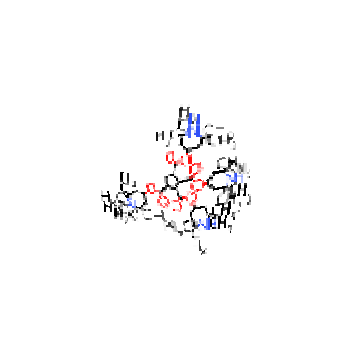 CN1C(C)(C)CC(OC(=O)C2CC(C(=O)OC3CC(C)(C)NC(C)(C)C3)C(C(=O)OC3CC(C)(C)NC(C)(C)C3)C2C(=O)OC2CC(C)(C)NC(C)(C)C2)CC1(C)C